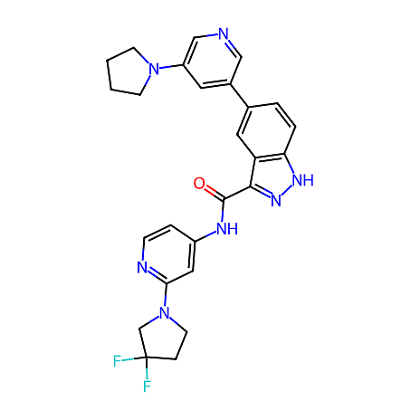 O=C(Nc1ccnc(N2CCC(F)(F)C2)c1)c1n[nH]c2ccc(-c3cncc(N4CCCC4)c3)cc12